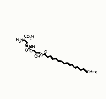 CCCCCCC=CCC=CCC=CCC=CCC=CCC(=O)OC[C@@H](O)COP(=O)(O)OC[C@H](N)C(=O)O